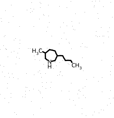 CCCCC1CCC(C)CNC1